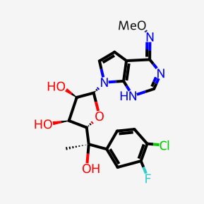 CO/N=c1/nc[nH]c2c1ccn2[C@@H]1O[C@H]([C@](C)(O)c2ccc(Cl)c(F)c2)[C@@H](O)[C@H]1O